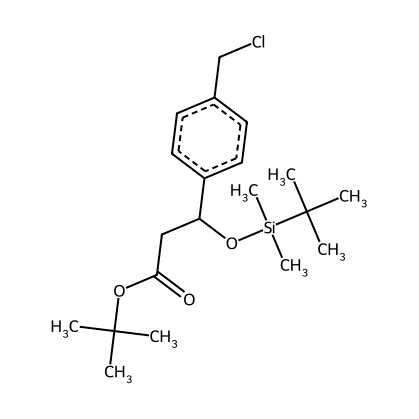 CC(C)(C)OC(=O)CC(O[Si](C)(C)C(C)(C)C)c1ccc(CCl)cc1